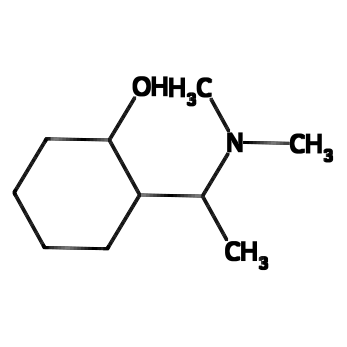 CC(C1CCCCC1O)N(C)C